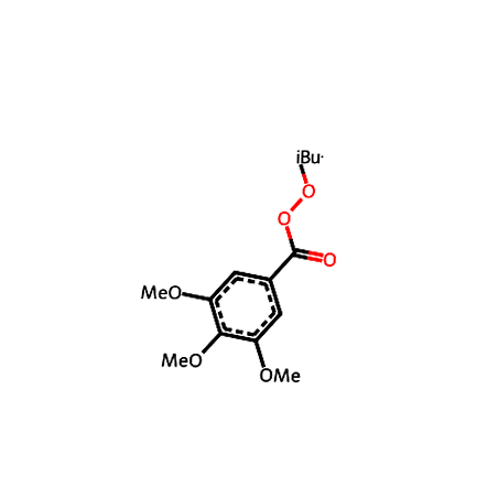 CC[C](C)OOC(=O)c1cc(OC)c(OC)c(OC)c1